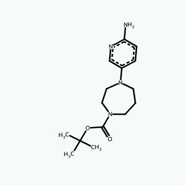 CC(C)(C)OC(=O)N1CCCN(c2ccc(N)nc2)CC1